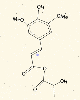 COc1cc(/C=C/C(=O)OC(=O)C(C)O)cc(OC)c1O